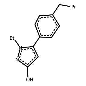 CCn1nc(O)cc1-c1ccc(CC(C)C)cc1